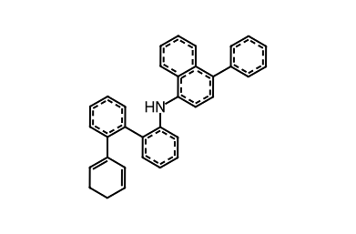 C1=CC(c2ccccc2-c2ccccc2Nc2ccc(-c3ccccc3)c3ccccc23)=CCC1